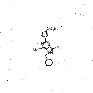 CCOC(=O)c1cnn(-c2nc(OC)c3c(n2)c(C(C)C)nn3CC2CCCCC2)c1